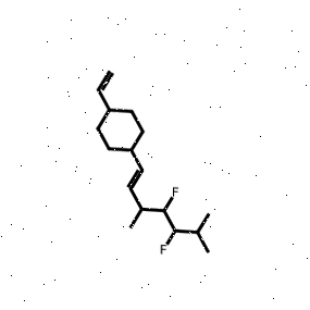 C=CC1CCC(/C=C/C(C)C(F)C(F)C(C)C)CC1